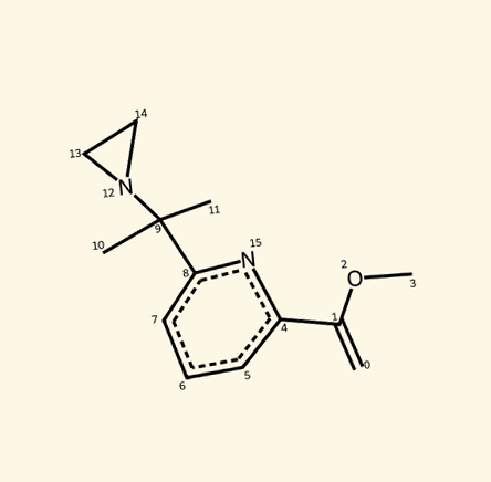 C=C(OC)c1cccc(C(C)(C)N2CC2)n1